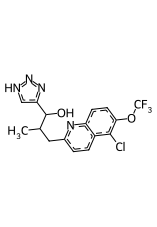 CC(Cc1ccc2c(Cl)c(OC(F)(F)F)ccc2n1)C(O)c1c[nH]nn1